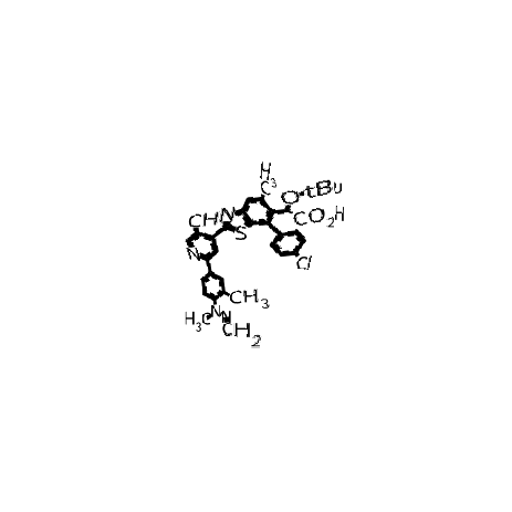 C=NN(C)c1ccc(-c2cc(-c3nc4cc(C)c([C@H](OC(C)(C)C)C(=O)O)c(-c5ccc(Cl)cc5)c4s3)c(C)cn2)cc1C